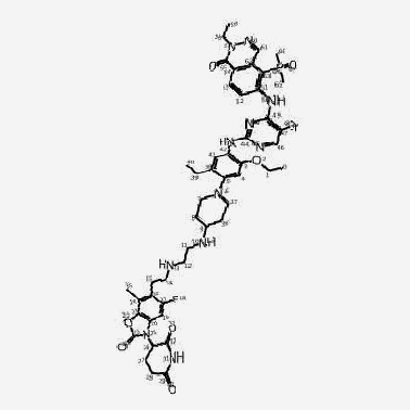 CCOc1cc(N2CCC(NCCNCCc3c(F)cc4c(oc(=O)n4C4CCC(=O)NC4=O)c3C)CC2)c(CC)cc1Nc1ncc(Br)c(Nc2ccc3c(=O)n(CC)ncc3c2P(C)(C)=O)n1